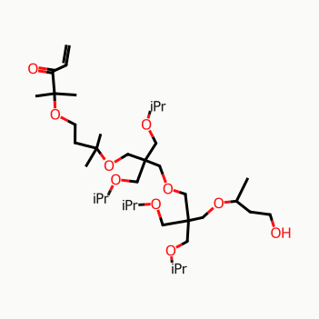 C=CC(=O)C(C)(C)OCCC(C)(C)OCC(COCC(COC(C)C)(COC(C)C)COC(C)CCO)(COC(C)C)COC(C)C